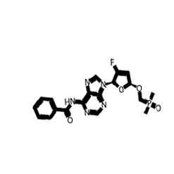 CP(C)(=O)CO[C@@H]1C=C(F)[C@H](n2cnc3c(NC(=O)c4ccccc4)ncnc32)O1